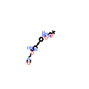 CC(C)(C)c1cc(NC(=O)Nc2ccc(C#C/C(C=N)=C/c3cc(OCCCN4CCOCC4)c[nH]3)cc2)no1